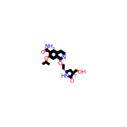 CC(C)Oc1cc2c(OCC[C@@H]3C[C@@](F)(CO)C(=O)N3)nccc2cc1C(N)=O